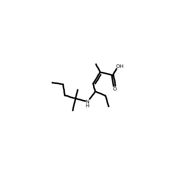 CCCC(C)(C)NC(C=C(C)C(=O)O)CC